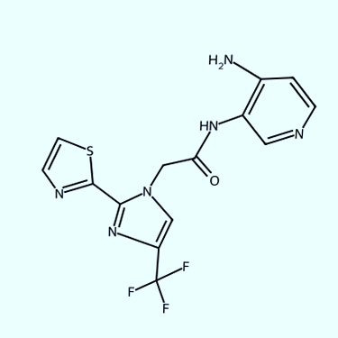 Nc1ccncc1NC(=O)Cn1cc(C(F)(F)F)nc1-c1nccs1